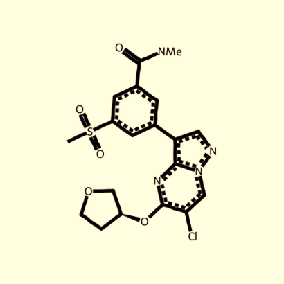 CNC(=O)c1cc(-c2cnn3cc(Cl)c(O[C@H]4CCOC4)nc23)cc(S(C)(=O)=O)c1